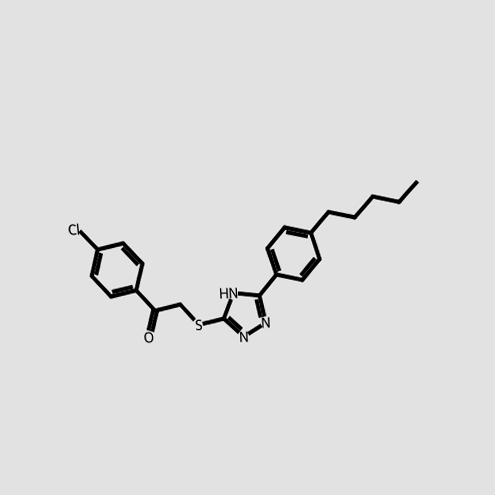 CCCCCc1ccc(-c2nnc(SCC(=O)c3ccc(Cl)cc3)[nH]2)cc1